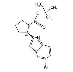 CC(C)(C)OC(=O)N1CCC[C@@H]1c1cn2cc(Br)ccc2n1